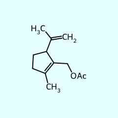 C=C(C)C1CCC(C)=C1COC(C)=O